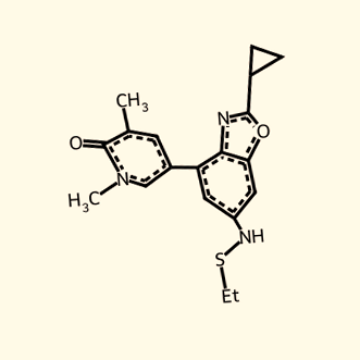 CCSNc1cc(-c2cc(C)c(=O)n(C)c2)c2nc(C3CC3)oc2c1